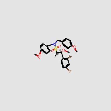 COc1ccc(CN(Cc2ccc(OC)cc2)S(=O)(=O)[C@H](C)[C@H](OC)c2ccc(Br)cc2Br)cc1